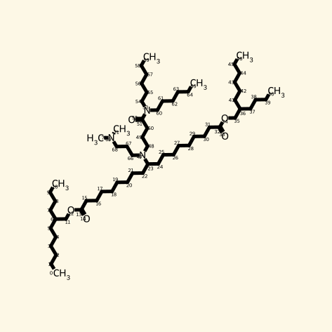 CCCCCCC(CCCC)COC(=O)CCCCCCCCC(CCCCCCCCC(=O)OCC(CCCC)CCCCCC)N(CCCC(=O)N(CCCCCC)CCCCCC)CCCN(C)C